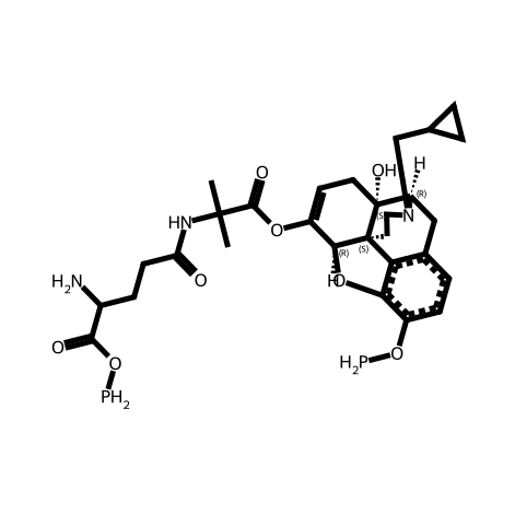 CC(C)(NC(=O)CCC(N)C(=O)OP)C(=O)OC1=CC[C@@]2(O)[C@H]3Cc4ccc(OP)c5c4[C@@]2(CCN3CC2CC2)[C@H]1O5